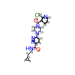 O=C(NCCC1CC1)c1ccc(N2CCN(C(=O)c3cccnc3Cl)CC2)nn1